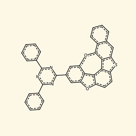 c1ccc(-c2nc(-c3ccccc3)nc(-c3cc4oc5ccc6sc7cc8ccccc8c8oc(c3)c4c5c6c78)n2)cc1